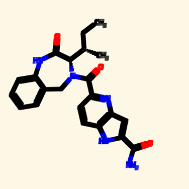 CC[C@H](C)[C@H]1C(=O)Nc2ccccc2CN1C(=O)c1ccc2[nH]c(C(N)=O)cc2n1